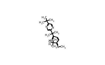 C/N=C(\C=C/C(=N)C(C)(C)c1cnc(C(C)(C)C)cn1)C(C)(C)C